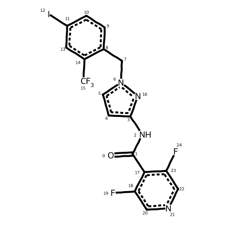 O=C(Nc1ccn(Cc2ccc(I)cc2C(F)(F)F)n1)c1c(F)cncc1F